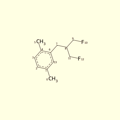 Cc1ccc(C)c(CC(CF)CF)c1